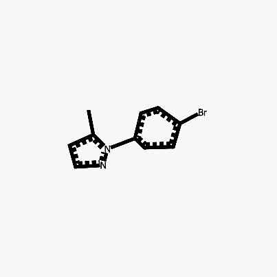 Cc1ccnn1-c1ccc(Br)cc1